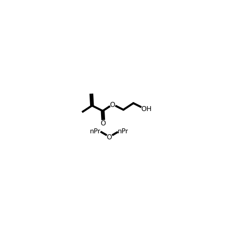 C=C(C)C(=O)OCCO.CCCOCCC